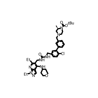 CCc1nc2c(cnn2CC)c(NC2CCOCC2)c1CNC(=O)NCc1ccc(Cl)c(-c2cccc(CN3CCN(C(=O)OC(C)(C)C)[C@H](C)C3)c2)c1